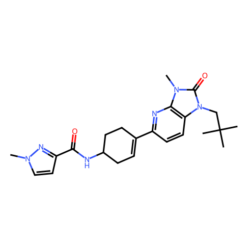 Cn1ccc(C(=O)NC2CC=C(c3ccc4c(n3)n(C)c(=O)n4CC(C)(C)C)CC2)n1